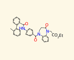 CCOC(=O)CN1C(=O)CCN(C(=O)c2ccc(NC(=O)c3ccccc3-c3ccccc3C)cc2)c2ccccc21